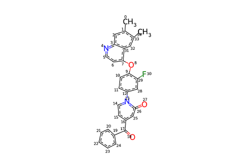 Cc1cc2nccc(Oc3ccc(-n4ccc(C(=O)c5ccccc5)cc4=O)cc3F)c2cc1C